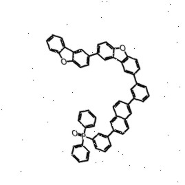 O=P(c1ccccc1)(c1ccccc1)c1cccc(-c2ccc3cc(-c4cccc(-c5ccc6oc7ccc(-c8ccc9oc%10ccccc%10c9c8)cc7c6c5)c4)ccc3c2)c1